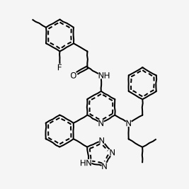 Cc1ccc(CC(=O)Nc2cc(-c3ccccc3-c3nnn[nH]3)nc(N(Cc3ccccc3)CC(C)C)c2)c(F)c1